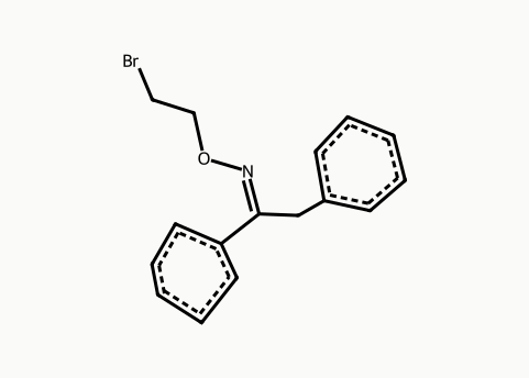 BrCCON=C(Cc1ccccc1)c1ccccc1